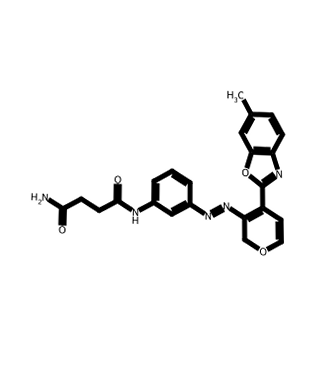 Cc1ccc2nc(C3=C(N=Nc4cccc(NC(=O)CCC(N)=O)c4)COC=C3)oc2c1